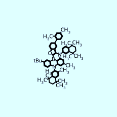 Cc1ccc(-c2ccc3oc4c(c3c2)N(c2ccc3c(c2)C(C)(C)CCC3(C)C)c2cc(C)cc3c2B4c2cc(C(C)(C)C)ccc2N3c2cc3c(cc2C)C(C)(C)CCC3(C)C)c(C)c1